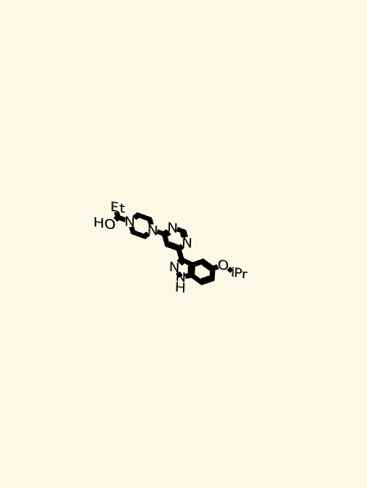 CCC(O)N1CCN(c2cc(-c3n[nH]c4ccc(OC(C)C)cc34)ncn2)CC1